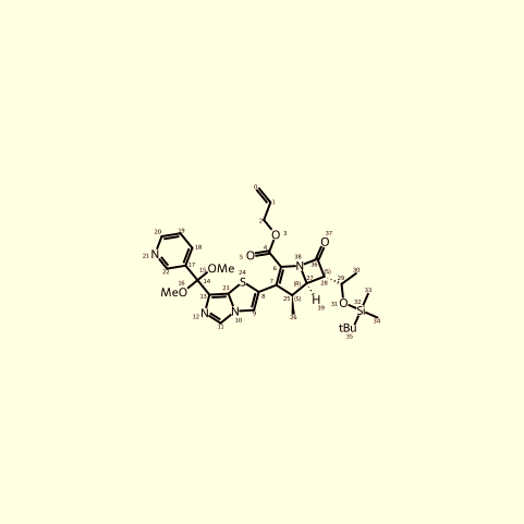 C=CCOC(=O)C1=C(c2cn3cnc(C(OC)(OC)c4cccnc4)c3s2)[C@H](C)[C@@H]2[C@@H](C(C)O[Si](C)(C)C(C)(C)C)C(=O)N12